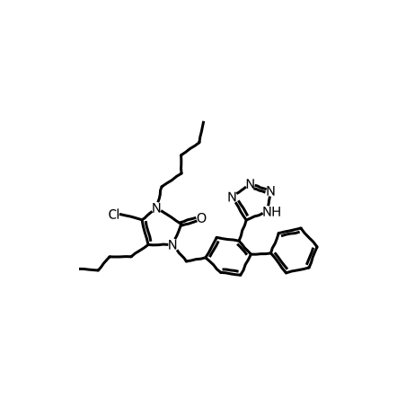 CCCCCn1c(Cl)c(CCCC)n(Cc2ccc(-c3ccccc3)c(-c3nnn[nH]3)c2)c1=O